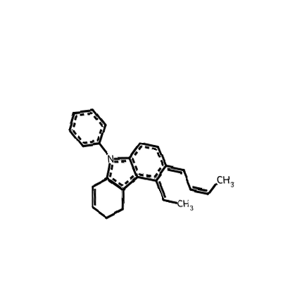 C\C=C/C=c1/ccc2c(c3c(n2-c2ccccc2)C=CCC3)/c1=C/C